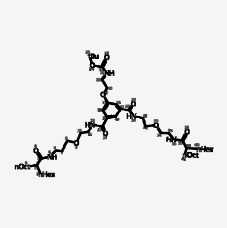 CCCCCCCCC(CCCCCC)C(=O)NCCCOCCNC(=O)c1cc(OCCNC(=O)OC(C)(C)C)cc(C(=O)NCCOCCNC(=O)C(CCCCCC)CCCCCCCC)c1